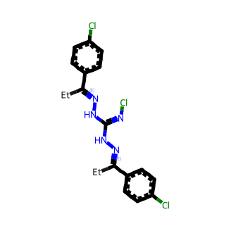 CC/C(=N\NC(=NCl)N/N=C(\CC)c1ccc(Cl)cc1)c1ccc(Cl)cc1